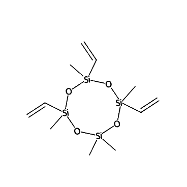 C=C[Si]1(C)O[Si](C)(C)O[Si](C)(C=C)O[Si](C)(C=C)O1